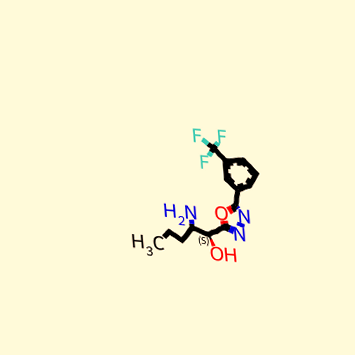 CCCC(N)[C@H](O)c1nnc(-c2cccc(C(F)(F)F)c2)o1